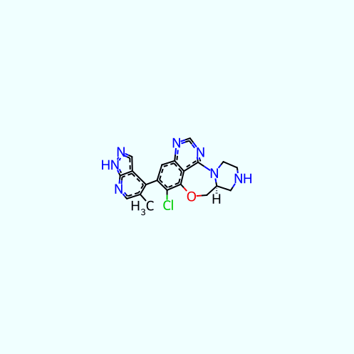 Cc1cnc2[nH]ncc2c1-c1cc2ncnc3c2c(c1Cl)OC[C@@H]1CNCCN31